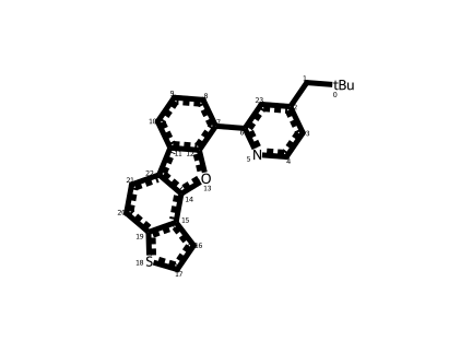 CC(C)(C)Cc1ccnc(-c2cccc3c2oc2c4ccsc4ccc32)c1